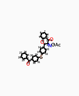 CC(=O)O/N=C(\C(=O)c1ccccc1)C(=O)c1ccc(Sc2ccc(C(=O)c3ccccc3)cc2)cc1